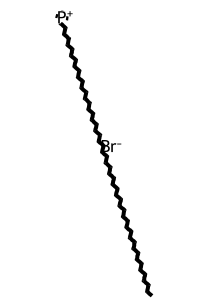 CCCCCCCCCCCCCCCCCCCCCCCCCCCCCCCCCCCCCCCCCCCCCCCCCCCC[P+](C)(C)C.[Br-]